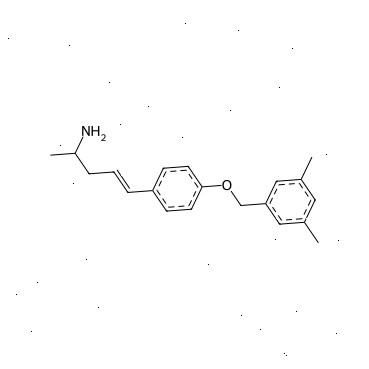 Cc1cc(C)cc(COc2ccc(C=CCC(C)N)cc2)c1